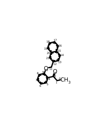 CCC(=O)c1ccccc1OCc1ccc2ccccc2c1